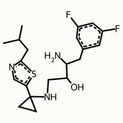 CC(C)Cc1ncc(C2(NCC(O)C(N)Cc3cc(F)cc(F)c3)CC2)s1